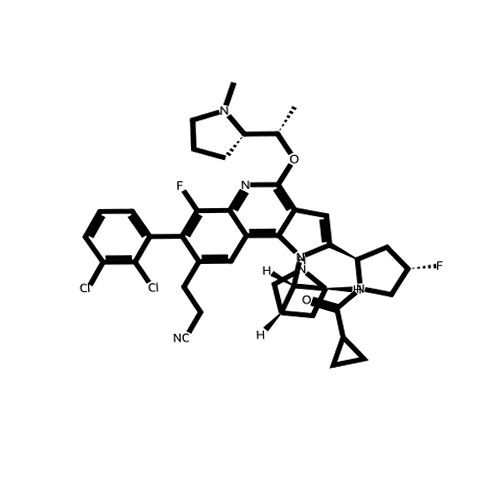 C[C@H](Oc1nc2c(F)c(-c3cccc(Cl)c3Cl)c(CCC#N)cc2c2c1cc([C@H]1C[C@H](F)CN1C(=O)C1CC1)n2[C@H]1[C@H]2CN[C@@H]1C2)[C@@H]1CCCN1C